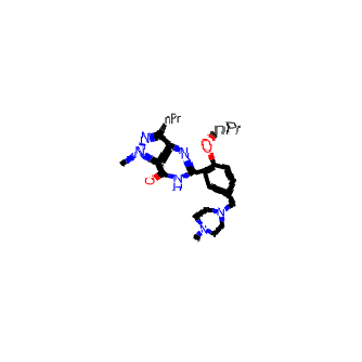 CCCOc1ccc(CN2CCN(C)CC2)cc1-c1nc2c(CCC)nn(C)c2c(=O)[nH]1